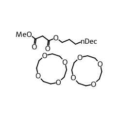 C1COCCOCCOCCO1.C1COCCOCCOCCO1.CCCCCCCCCCCCCOC(=O)CC(=O)OC